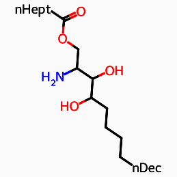 CCCCCCCCCCCCCCC(O)C(O)C(N)COC(=O)CCCCCCC